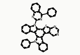 c1ccc(-c2nc(-n3c4ccccc4c4c3c3sc5ncncc5c3c3c5ccccc5n(-c5ccccc5)c34)nc3ccccc23)cc1